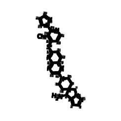 N[C@@H]1c2ccnn2CC12CCN(c1cnc3nc(Sc4ccnc(-n5cccn5)c4Cl)ccc3n1)CC2